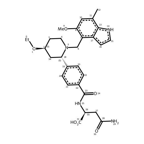 CCO[C@H]1CCN(Cc2c(OC)cc(C)c3[nH]ccc23)[C@H](c2ccc(C(=O)N[C@@H](CC(N)=O)C(=O)O)cc2)C1